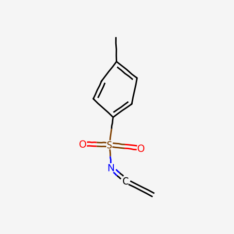 C=C=NS(=O)(=O)c1ccc(C)cc1